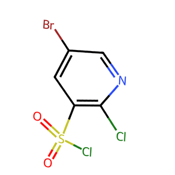 O=S(=O)(Cl)c1cc(Br)cnc1Cl